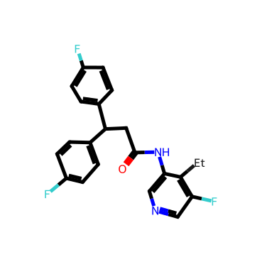 CCc1c(F)cncc1NC(=O)CC(c1ccc(F)cc1)c1ccc(F)cc1